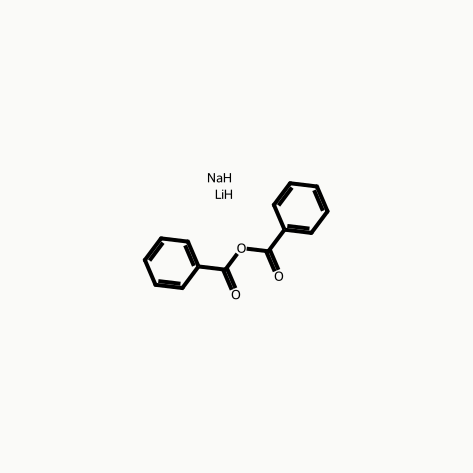 O=C(OC(=O)c1ccccc1)c1ccccc1.[LiH].[NaH]